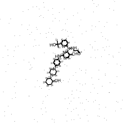 C=CCNN(c1cccc(C(C)(C)O)n1)c1nc(Nc2ccc(N3CCN(C4CCCCC4O)CC3)cc2)ncc1C=O